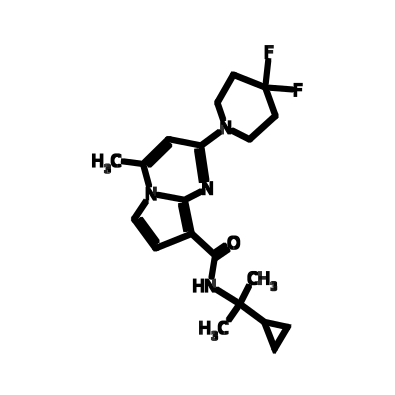 Cc1cc(N2CCC(F)(F)CC2)nc2c(C(=O)NC(C)(C)C3CC3)ccn12